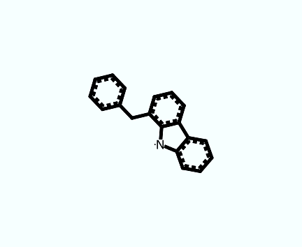 c1ccc(Cc2cccc3c2[N]c2ccccc2-3)cc1